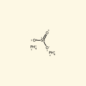 [O]=[Sn]([O-])[O-].[PH4+].[PH4+]